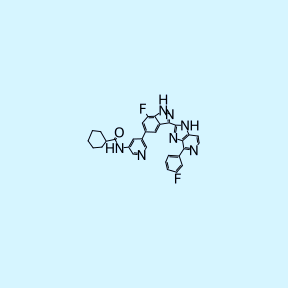 O=C(Nc1cncc(-c2cc(F)c3[nH]nc(-c4nc5c(-c6cccc(F)c6)nccc5[nH]4)c3c2)c1)C1CCCCC1